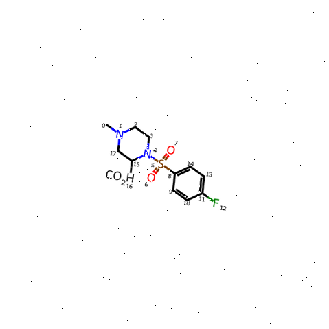 CN1CCN(S(=O)(=O)c2ccc(F)cc2)C(C(=O)O)C1